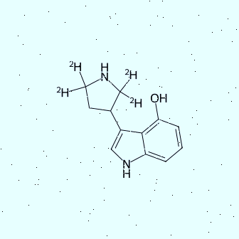 [2H]C1([2H])CC(c2c[nH]c3cccc(O)c23)C([2H])([2H])N1